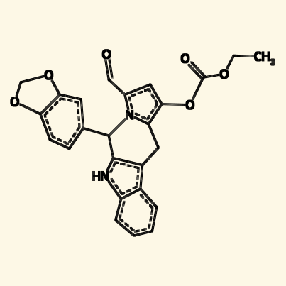 CCOC(=O)Oc1cc(C=O)n2c1Cc1c([nH]c3ccccc13)C2c1ccc2c(c1)OCO2